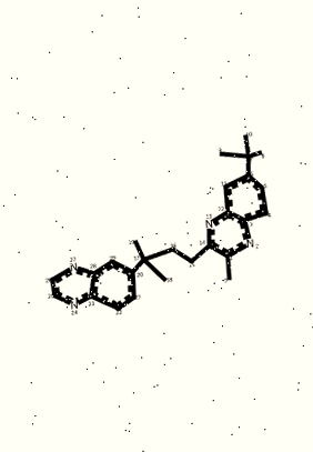 Cc1nc2ccc(C(C)(C)C)cc2nc1CCC(C)(C)c1ccc2nccnc2c1